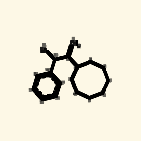 C=C(C1CCCCCCC1)C(CC)c1ccccc1